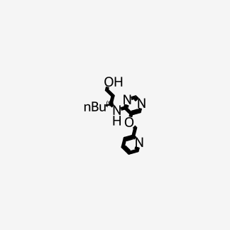 CCCC[C@@H](CCO)Nc1ncncc1OCc1ccccn1